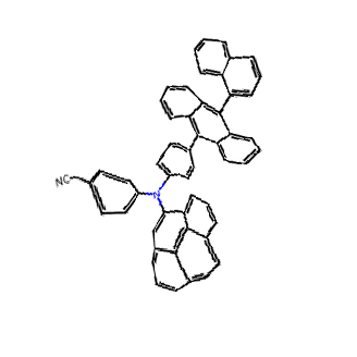 N#Cc1ccc(N(c2ccc(-c3c4ccccc4c(-c4cccc5ccccc45)c4ccccc34)cc2)c2cc3cccc4ccc5cccc2c5c43)cc1